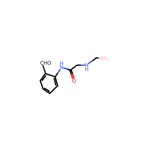 BCNCC(=O)Nc1ccccc1C=O